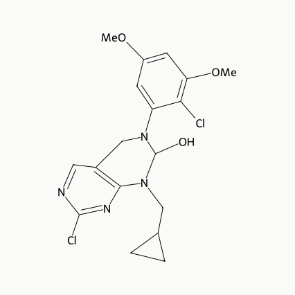 COc1cc(OC)c(Cl)c(N2Cc3cnc(Cl)nc3N(CC3CC3)C2O)c1